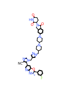 C[C@@H](Oc1cc(-c2c(C#N)ncn2Cc2cnn(CC3CCN(C4CCN(c5ccc6c(c5)CN(C5CCC(=O)NC5=O)C6=O)CC4)CC3)c2)cnc1N)c1cccc(F)c1